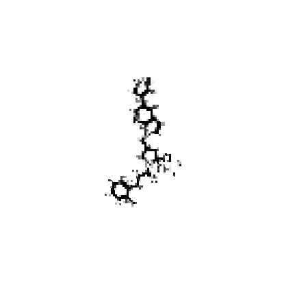 CC1(C)CC(Cn2ccc3cc(-c4cn[nH]c4)cnc32)CN1C(=O)CCc1ccccc1F